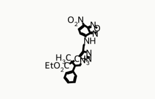 CCOC(=O)C(C)(C)C(Cn1cc(CNc2ccc([N+](=O)[O-])c3nonc23)nn1)c1ccccc1